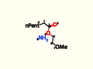 CCCCCCC(=O)OCCOC.N